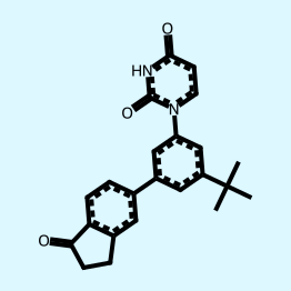 CC(C)(C)c1cc(-c2ccc3c(c2)CCC3=O)cc(-n2ccc(=O)[nH]c2=O)c1